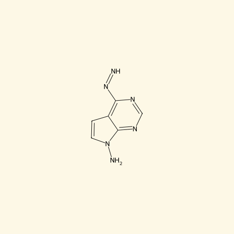 N=Nc1ncnc2c1ccn2N